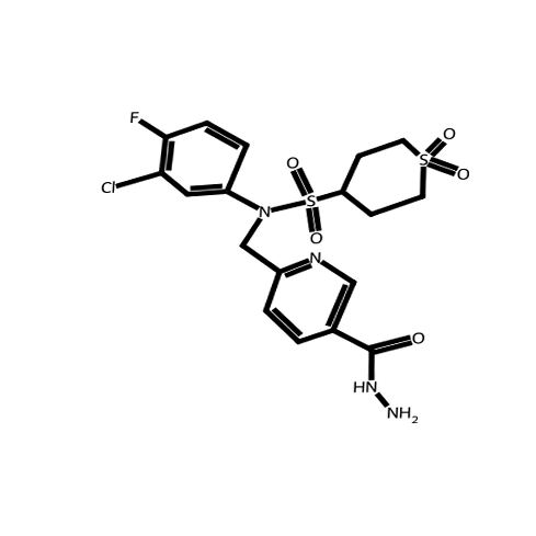 NNC(=O)c1ccc(CN(c2ccc(F)c(Cl)c2)S(=O)(=O)C2CCS(=O)(=O)CC2)nc1